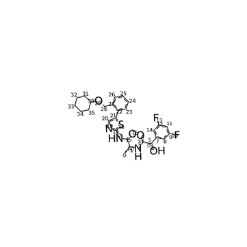 C[C@H](NC(=O)[C@@H](O)c1cc(F)cc(F)c1)C(=O)Nc1ncc(-c2ccccc2COC2CCCCC2)s1